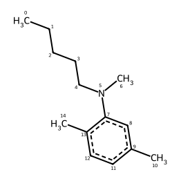 CCCCCN(C)c1cc(C)ccc1C